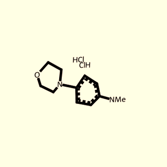 CNc1ccc(N2CCOCC2)cc1.Cl.Cl